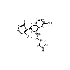 Cc1cccc(F)c1-c1cc(NC[C@H]2CCNC2)c2cc(N)ncc2c1